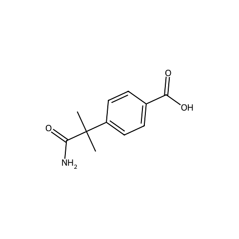 CC(C)(C(N)=O)c1ccc(C(=O)O)cc1